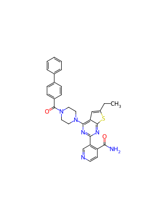 CCc1cc2c(N3CCN(C(=O)c4ccc(-c5ccccc5)cc4)CC3)nc(-c3cnccc3C(N)=O)nc2s1